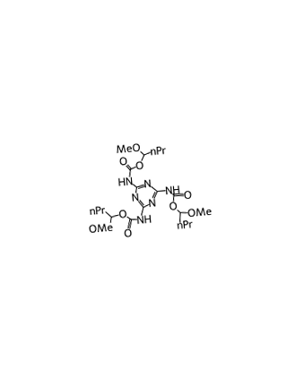 CCCC(OC)OC(=O)Nc1nc(NC(=O)OC(CCC)OC)nc(NC(=O)OC(CCC)OC)n1